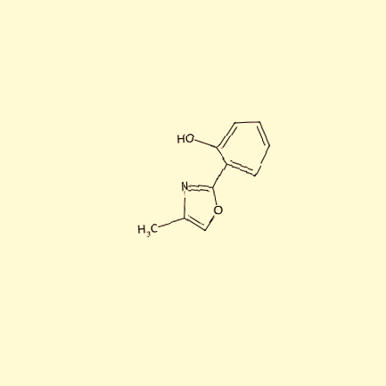 Cc1coc(-c2ccccc2O)n1